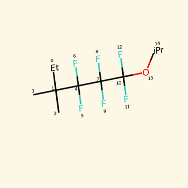 CCC(C)(C)C(F)(F)C(F)(F)C(F)(F)OC(C)C